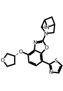 c1csc(-c2ccc(O[C@@H]3CCOC3)c3nc(N4CC5CC(C4)N5)oc23)n1